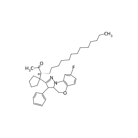 CCCCCCCCCCCCC[C@@H](C(C)=O)C1(C2=NN3c4cc(F)ccc4OCC3C2c2ccccc2)CCCC1